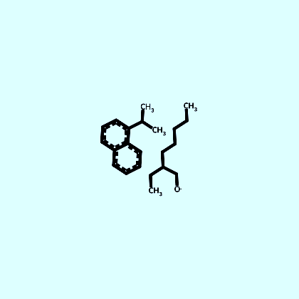 CC(C)c1cccc2ccccc12.CCCCCC(CC)C[O]